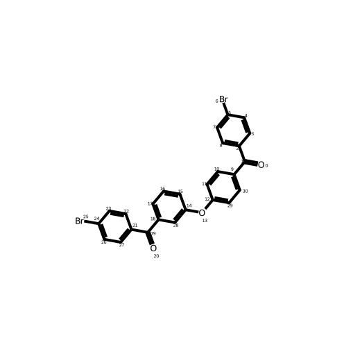 O=C(c1ccc(Br)cc1)c1ccc(Oc2cccc(C(=O)c3ccc(Br)cc3)c2)cc1